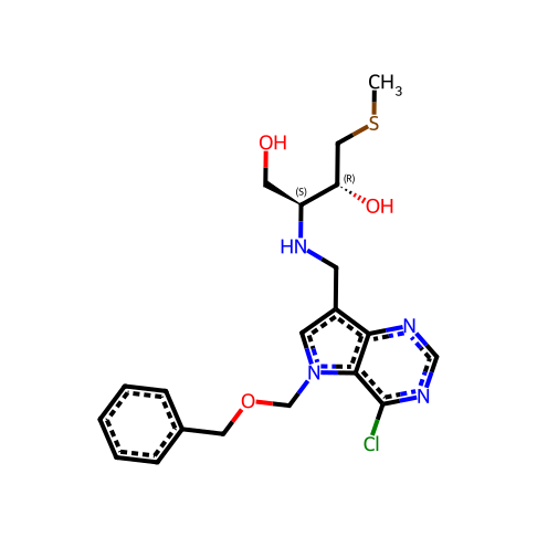 CSC[C@H](O)[C@H](CO)NCc1cn(COCc2ccccc2)c2c(Cl)ncnc12